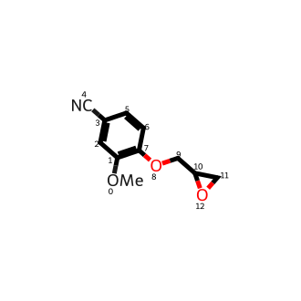 COc1cc(C#N)ccc1OCC1CO1